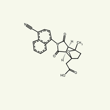 CC12CCC(CC(=O)O)(O1)[C@H]1C(=O)N(c3ccc(C#N)c4ccccc34)C(=O)[C@H]12